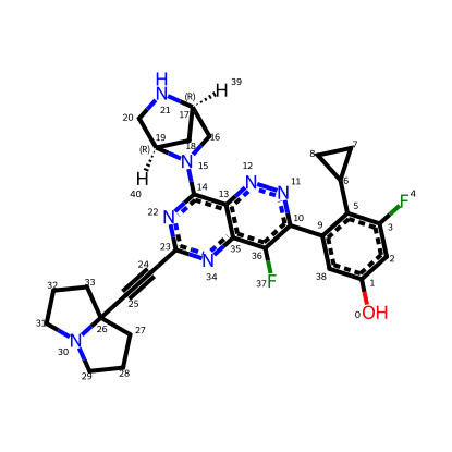 Oc1cc(F)c(C2CC2)c(-c2nnc3c(N4C[C@H]5C[C@@H]4CN5)nc(C#CC45CCCN4CCC5)nc3c2F)c1